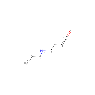 [CH2]C[C]NCCC=C=O